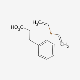 C=CSC=C.O=C(O)CCc1ccccc1